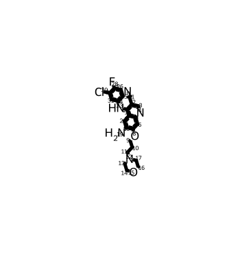 N#Cc1cnc2cc(OCCCN3CCOCC3)c(N)cc2c1Nc1ccc(F)c(Cl)c1